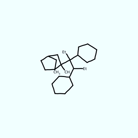 CCC(C1CCCCC1)C(CC)(C1CCCCC1)C1(C)CC2CCC1(C)C2